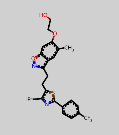 Cc1cc2c(CCc3sc(-c4ccc(C(F)(F)F)cc4)nc3C(C)C)noc2cc1OCCO